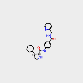 O=C(NCc1ccccn1)c1ccc(NC(=O)[C@H]2NCC[C@H]2C2CCCCC2)cc1